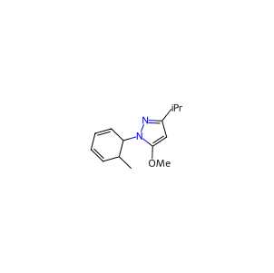 COc1cc(C(C)C)nn1C1C=CC=CC1C